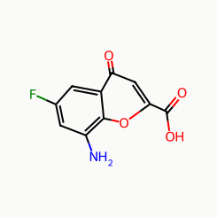 Nc1cc(F)cc2c(=O)cc(C(=O)O)oc12